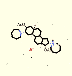 CC(=O)O[C@H]1C[C@@H]2CCC3C4C[C@H]([N+]5(C)CCCCCC5)[C@H](OC(C)=O)[C@@]4(C)CCC3[C@@]2(C)C[C@@H]1N1CCCCCC1.[Br-]